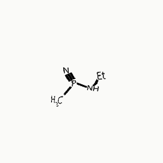 CCNP(C)#N